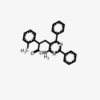 Cc1ccccc1C(Cc1c(N)nc(-c2ccccc2)nc1-c1ccccc1)C(=O)O